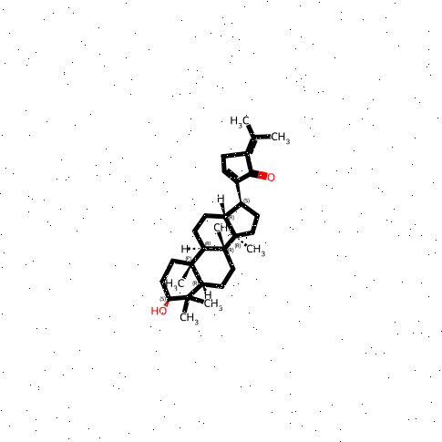 CC(C)=C1CC=C([C@H]2CC[C@]3(C)[C@@H]2CC[C@@H]2[C@@]4(C)CC[C@H](O)C(C)(C)[C@@H]4CC[C@]23C)C1=O